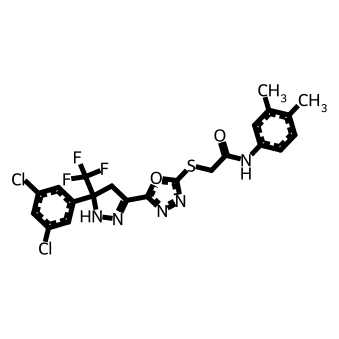 Cc1ccc(NC(=O)CSc2nnc(C3=NNC(c4cc(Cl)cc(Cl)c4)(C(F)(F)F)C3)o2)cc1C